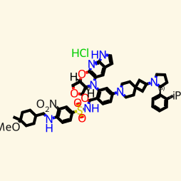 COC1(C)CCC(CNc2ccc(S(=O)(=O)NC(=O)c3ccc(N4CCC5(CC4)CC(N4CCC[C@H]4c4ccccc4C(C)C)C5)cc3N3c4cc5cc[nH]c5nc4O[C@@H]4COC[C@H]43)cc2[N+](=O)[O-])CC1.Cl